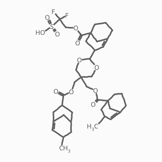 CC1C=C2CC(C1)CC(C(=O)OCC1(COC(=O)C34CCCC(=CC(C)C3)C4)COC(C3C=C4CCCC(C(=O)OCC(F)(F)S(=O)(=O)O)(C4)C3)OC1)C2